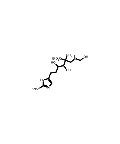 CCCCCCCCCc1ncc(CCC(O)C(O)C(N)(CNCO)C(=O)OCC)[nH]1